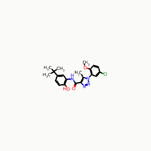 COc1ccc(Cl)cc1-n1nnc(C(=O)Nc2cc(C(C)(C)C)ccc2O)c1C